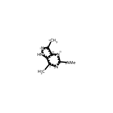 CNc1nc(C)c2[nH]nc(C)c2n1